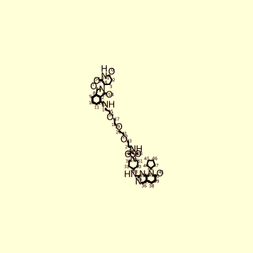 O=C1CCC(N2C(=O)c3cccc(NCCOCCOCCOCCNS(=O)(=O)N4CCC(Nc5ncc6ccc(=O)n(C7CCCC7)c6n5)CC4)c3C2=O)C(=O)N1